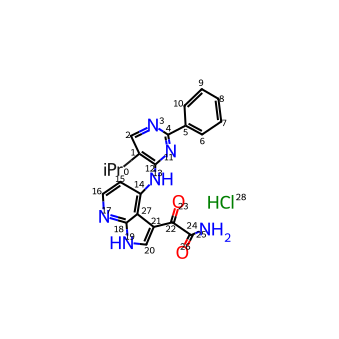 CC(C)c1cnc(-c2ccccc2)nc1Nc1ccnc2[nH]cc(C(=O)C(N)=O)c12.Cl